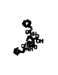 O=C(Cc1cccs1)NC1C(=O)N2C(C(=O)O)=C(NC(=O)Sc3ccccc3)CS[C@@H]12